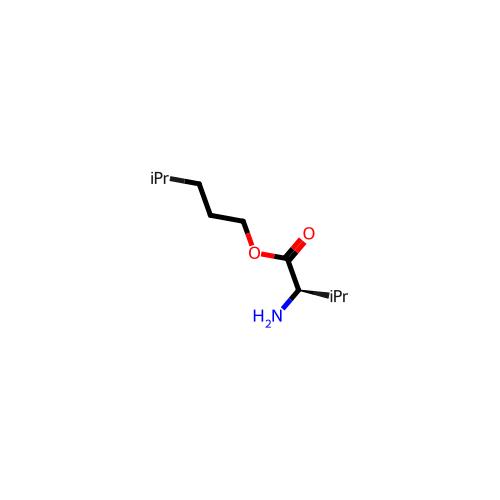 CC(C)CCCOC(=O)[C@H](N)C(C)C